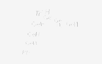 [GeH5-].[GeH5-].[GeH5-].[GeH5-].[GeH5-].[GeH5-].[Pt+2].[Ti+4]